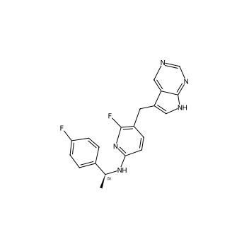 C[C@H](Nc1ccc(Cc2c[nH]c3ncncc23)c(F)n1)c1ccc(F)cc1